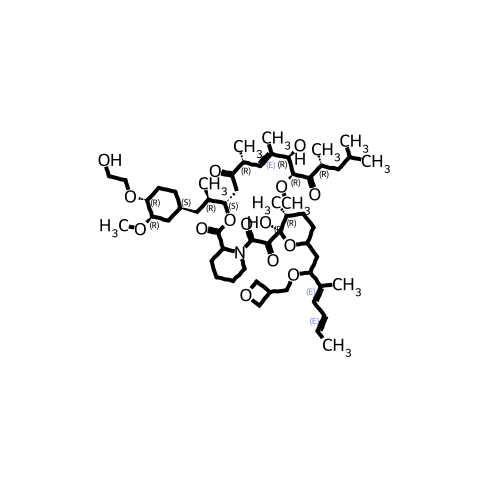 C/C=C/C=C(\C)C(CC1CC[C@@H](C)[C@](O)(C(=O)C(=O)N2CCCCC2C(=O)O[C@@H](CC(=O)[C@H](C)/C=C(\C)[C@@H](O)[C@@H](OC)C(=O)[C@H](C)CC(C)C)[C@H](C)C[C@@H]2CC[C@@H](OCCO)[C@H](OC)C2)O1)OCC1COC1